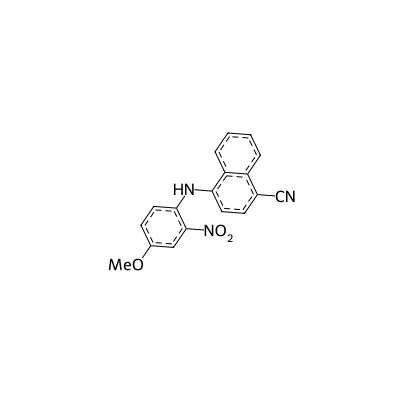 COc1ccc(Nc2ccc(C#N)c3ccccc23)c([N+](=O)[O-])c1